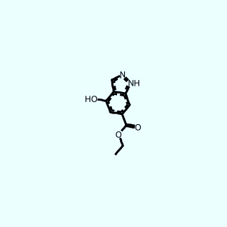 CCOC(=O)c1cc(O)c2cn[nH]c2c1